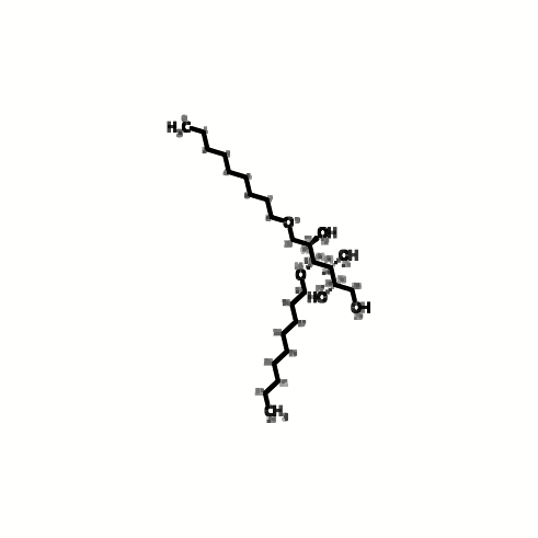 CCCCCCCCCOC[C@@H](O)[C@@H](OCCCCCCCCC)[C@H](O)[C@@H](O)CO